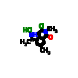 Cc1cc([C@@H](C)N)c2cc(Cl)n(C)c(=O)c2c1.Cl